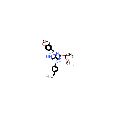 CCc1ccc(CNc2nc(OC(C)COC)nc(NCc3ccc(OC)cc3)c2C=N)cc1